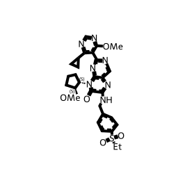 CCS(=O)(=O)c1ccc(CNc2nc3cnc(-c4c(OC)ncnc4C4CC4)nc3n([C@H]3CCC[C@@H]3OC)c2=O)cc1